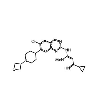 CN/C(=C\C(=N)C1CC1)Nc1ncc2cc(Cl)c(C3CCN(C4COC4)CC3)cc2n1